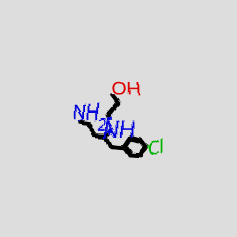 NCCCC(Cc1ccc(Cl)cc1)NCCCO